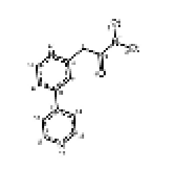 CCN(CC)C(=O)Cc1cc(-c2ccncc2)ccn1